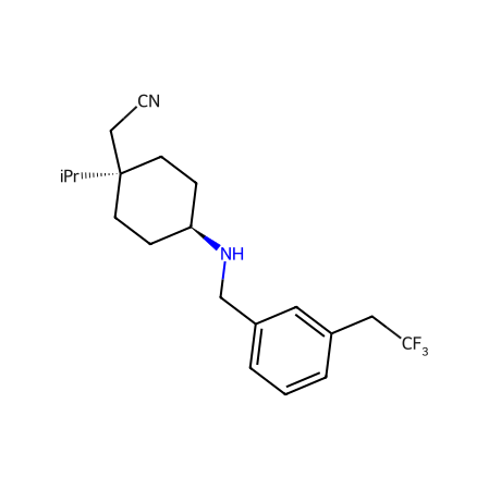 CC(C)[C@]1(CC#N)CC[C@@H](NCc2cccc(CC(F)(F)F)c2)CC1